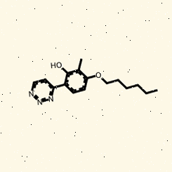 CCCCCCOc1ccc(-c2ccnnn2)c(O)c1C